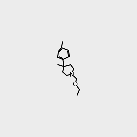 CCOCN1CCC(C)(c2ccc(C)cc2)CC1